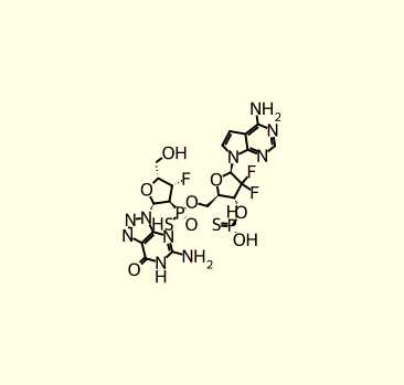 Nc1nc2c(nnn2[C@@H]2O[C@H](CO)[C@H](F)[C@H]2P(=O)(S)OC[C@H]2O[C@@H](n3ccc4c(N)ncnc43)C(F)(F)[C@@H]2O[PH](O)=S)c(=O)[nH]1